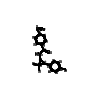 COc1ccc(C(=O)NC2C(c3ccc(C)cc3)C2(C)C)cc1